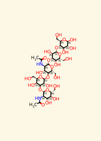 CC(=O)N[C@H]1[C@H](O[C@H]2[C@@H](O)[C@@H](CO)O[C@@H](O[C@H]3[C@H](O)[C@@H](O)[C@H](O)O[C@@H]3CO)[C@@H]2O)O[C@H](CO)[C@@H](O[C@@H]2O[C@H](CO)[C@H](O)[C@H](O[C@@H]3O[C@H](CO)[C@@H](O)[C@H](O)[C@H]3NC(C)=O)[C@H]2O)[C@@H]1O